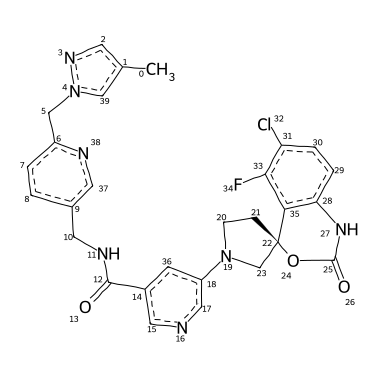 Cc1cnn(Cc2ccc(CNC(=O)c3cncc(N4CC[C@]5(C4)OC(=O)Nc4ccc(Cl)c(F)c45)c3)cn2)c1